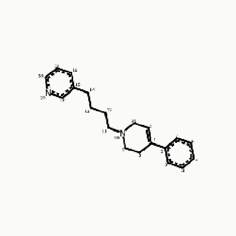 C1=C(c2ccccc2)CCN(CCCCc2cccnc2)C1